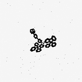 c1ccc(C2(c3ccccc3)c3ccccc3-c3ccc(N(c4ccc(-c5ccc(C67CC8CC(CC(C8)C6)C7)cc5)cc4)c4ccc5c(c4)C(c4ccccc4)(c4ccccc4)c4ccccc4-5)cc32)cc1